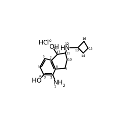 Cl.Nc1c(O)ccc2c1CCC(NC1CCC1)C2O